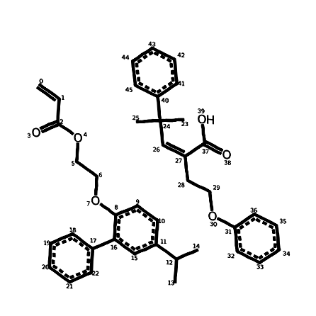 C=CC(=O)OCCOc1ccc(C(C)C)cc1-c1ccccc1.CC(C)(C=C(CCOc1ccccc1)C(=O)O)c1ccccc1